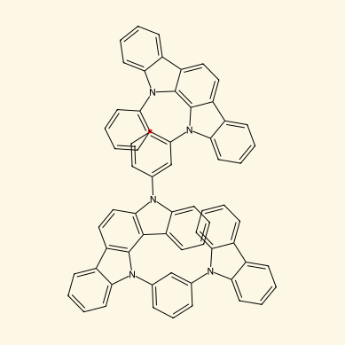 c1ccc(-n2c3ccccc3c3ccc4c5ccccc5n(-c5cccc(-n6c7ccccc7c7c6ccc6c8ccccc8n(-c8cccc(-n9c%10ccccc%10c%10ccccc%109)c8)c67)c5)c4c32)cc1